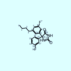 CCCCc1cc(F)cc(C2(c3cccc(F)c3)NC(=O)NC2=O)c1